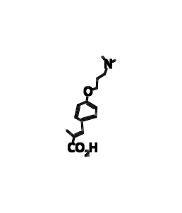 C/C(=C\c1ccc(OCCCN(C)C)cc1)C(=O)O